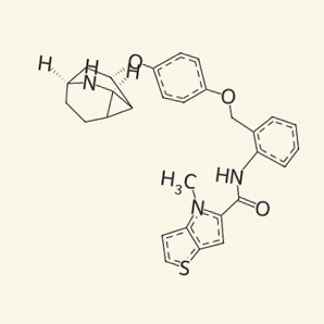 Cn1c(C(=O)Nc2ccccc2COc2ccc(O[C@H]3C[C@@H]4CCC5C3[C@@H]5N4)cc2)cc2sccc21